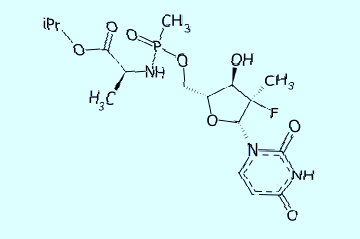 CC(C)OC(=O)[C@H](C)NP(C)(=O)OC[C@H]1O[C@@H](n2ccc(=O)[nH]c2=O)[C@](C)(F)[C@@H]1O